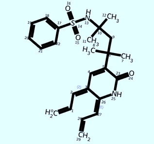 C=C/C=c1/cc(C(C)(C)CC(C)(C)NS(=O)(=O)c2ccccc2)c(=O)[nH]/c1=C/C=C